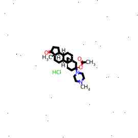 CC(=O)O[C@@]1(N2CCN(C)CC2)CC[C@@]23C[C@@]2(CC[C@@H]2[C@@H]3CC[C@]3(C)C(=O)CC[C@@H]23)C1.Cl